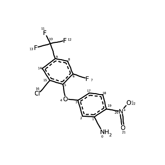 Nc1cc(Oc2c(F)cc(C(F)(F)F)cc2Cl)ccc1[N+](=O)[O-]